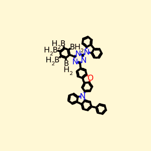 Bc1c(B)c(B)c(-c2nc(-c3ccc4c(c3)oc3ccc(-n5c6ccccc6c6ccc(-c7ccccc7)cc65)cc34)nc(-n3c4ccccc4c4ccccc43)n2)c(B)c1B